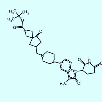 Cn1c(=O)n(C2CCC(=O)NC2=O)c2ccc(N3CCN(CC4CC(=O)C5(C4)CN(C(=O)OC(C)(C)C)C5)CC3)cc21